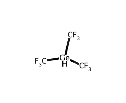 F[C](F)(F)[GeH]([C](F)(F)F)[C](F)(F)F